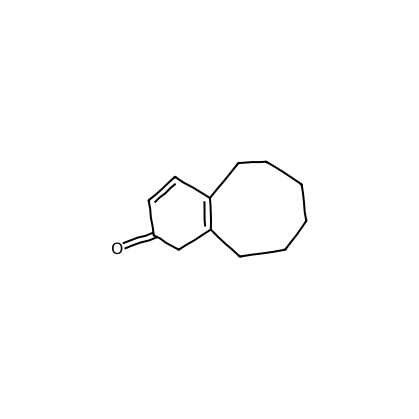 O=C1C=CC2=C(CCCCCC2)C1